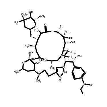 CC[C@H]1OC(=O)[C@H](C)[C@@H](O[C@H]2C[C@@](C)(OC)[C@@H](O)[C@H](C)O2)[C@H](C)[C@@H](O[C@@H]2O[C@H](C)C[C@H](N(C)CCC3=CN([C@H](CF)[C@H](OC)c4ccc([S+]([O-])CF)cc4)NN3)[C@H]2O)[C@](C)(O)C[C@@H](C)CN(C)[C@H](C)[C@@H](O)[C@]1(C)O